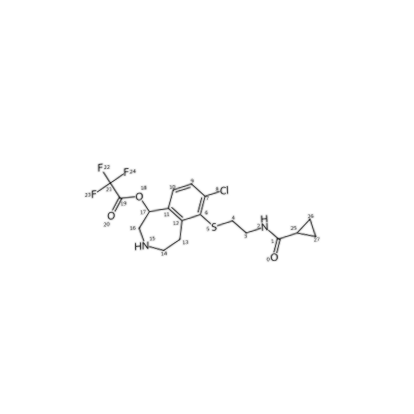 O=C(NCCSc1c(Cl)ccc2c1CCNCC2OC(=O)C(F)(F)F)C1CC1